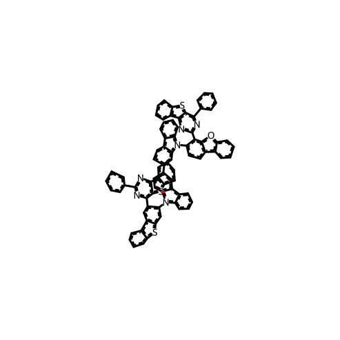 c1ccc(-c2nc(-c3cc4c(cc3-n3c5ccccc5c5cc(-c6ccc7c8ccccc8n(-c8ccc9c(oc%10ccccc%109)c8-c8nc(-c9ccccc9)c9sc%10ccccc%10c9n8)c7c6)ccc53)sc3ccccc34)c3sc4ccccc4c3n2)cc1